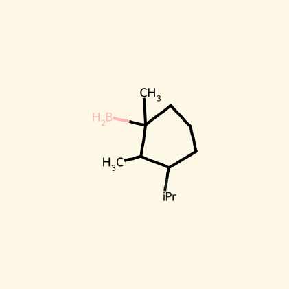 BC1(C)CCCC(C(C)C)C1C